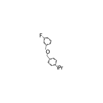 CC(C)c1ccc(COCc2cccc(F)c2)cc1